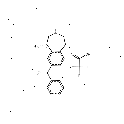 CC(c1ccccc1)c1ccc2c(c1)[C@H](C)CNCC2.O=C(O)C(F)(F)F